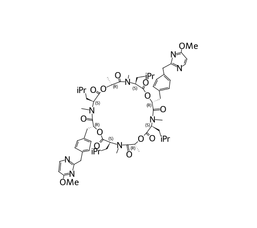 COc1ccnc(Cc2ccc(C[C@H]3OC(=O)[C@H](CC(C)C)N(C)C(=O)[C@@H](C)OC(=O)[C@H](CC(C)C)N(C)C(=O)[C@@H](Cc4ccc(Cc5nccc(OC)n5)cc4)OC(=O)[C@H](CC(C)C)N(C)C(=O)[C@@H](C)OC(=O)[C@H](CC(C)C)N(C)C3=O)cc2)n1